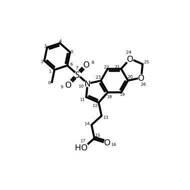 Cc1ccccc1S(=O)(=O)n1cc(CCC(=O)O)c2cc3c(cc21)OCO3